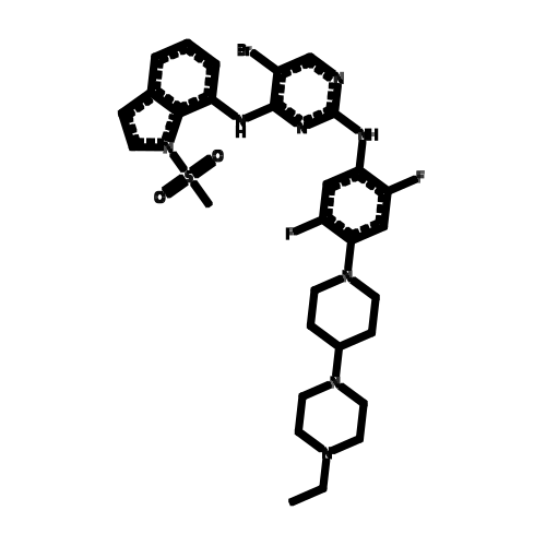 CCN1CCN(C2CCN(c3cc(F)c(Nc4ncc(Br)c(Nc5cccc6ccn(S(C)(=O)=O)c56)n4)cc3F)CC2)CC1